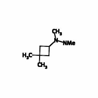 CNN(C)C1CC(C)(C)C1